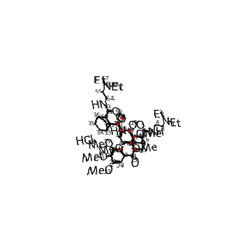 CCN(CC)CCNC(=O)C1C2CCC(C(C(=O)c3cc(OC)c(OC)c(OC)c3)C2)C1C(=O)NC(=O)C1C2CCC(CC2C(=O)c2cc(OC)c(OC)c(OC)c2)C1C(=O)NCCN(CC)CC.Cl